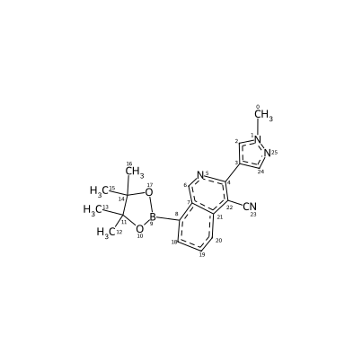 Cn1cc(-c2ncc3c(B4OC(C)(C)C(C)(C)O4)cccc3c2C#N)cn1